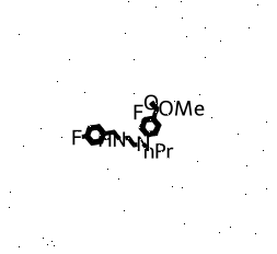 CCCN(CCNCc1ccc(F)cc1)c1ccc(C(=O)OC)c(F)c1